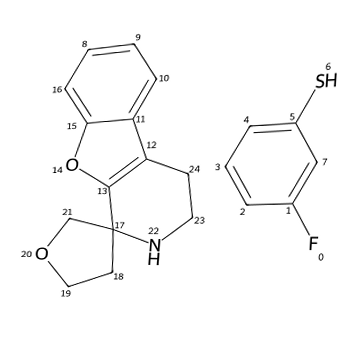 Fc1cccc(S)c1.c1ccc2c3c(oc2c1)C1(CCOC1)NCC3